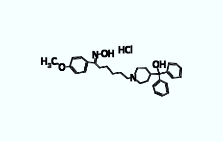 COc1ccc(C(CCCCCN2CCC(C(O)(c3ccccc3)c3ccccc3)CC2)=NO)cc1.Cl